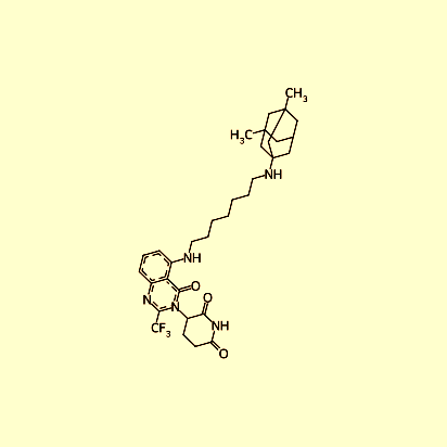 CC12CC3CC(C)(C1)CC(NCCCCCCCNc1cccc4nc(C(F)(F)F)n(C5CCC(=O)NC5=O)c(=O)c14)(C3)C2